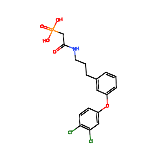 O=C(CP(=O)(O)O)NCCCc1cccc(Oc2ccc(Cl)c(Cl)c2)c1